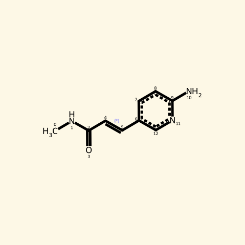 CNC(=O)/C=C/c1ccc(N)nc1